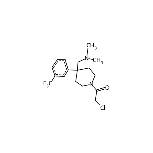 CN(C)CC1(c2cccc(C(F)(F)F)c2)CCN(C(=O)CCl)CC1